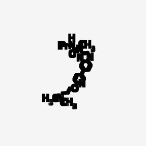 CC(C)NC(=O)N(C)c1cnc2ccc(-c3ccc(OCCCN(C)C)nc3)cc2n1